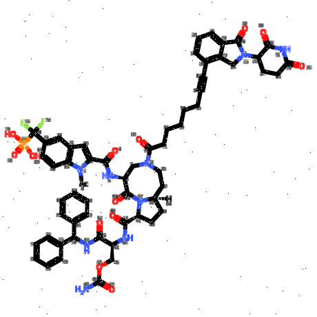 CC(=O)n1c(C(=O)N[C@H]2CN(C(=O)CCCCCC#Cc3cccc4c3CN(C3CCC(=O)NC3=O)C4=O)CC[C@H]3CC[C@@H](C(=O)N[C@@H](COC(N)=O)C(=O)NC(c4ccccc4)c4ccccc4)N3C2=O)cc2cc(C(F)(F)P(=O)(O)O)ccc21